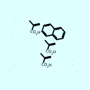 C=C(C)C(=O)O.C=C(C)C(=O)O.C=C(C)C(=O)O.c1ccc2ccccc2c1